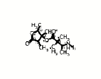 CC(NI)C(C)(C)C(=O)OC1(C)C(C)OC(=O)C1C